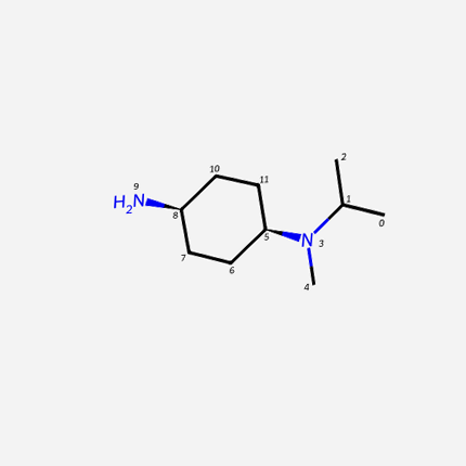 CC(C)N(C)[C@H]1CC[C@@H](N)CC1